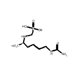 NC(=O)NCCCC[C@H](NCP(=O)(O)O)C(=O)O